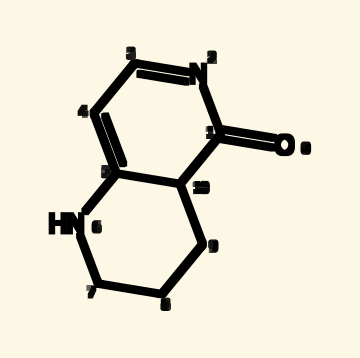 O=C1N=CC=C2NCCCC12